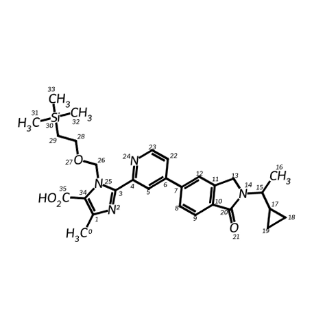 Cc1nc(-c2cc(-c3ccc4c(c3)CN(C(C)C3CC3)C4=O)ccn2)n(COCC[Si](C)(C)C)c1C(=O)O